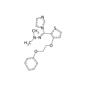 CN(C)N=C(c1sccc1OCCOc1ccccc1)n1ccnc1